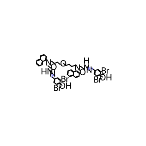 O=C(CN(CCCCOCCCCN(CC(=O)N/N=C/c1cc(Br)c(O)c(Br)c1)c1cccc2ccccc12)c1cccc2ccccc12)N/N=C/c1cc(Br)c(O)c(Br)c1